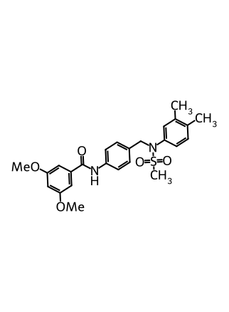 COc1cc(OC)cc(C(=O)Nc2ccc(CN(c3ccc(C)c(C)c3)S(C)(=O)=O)cc2)c1